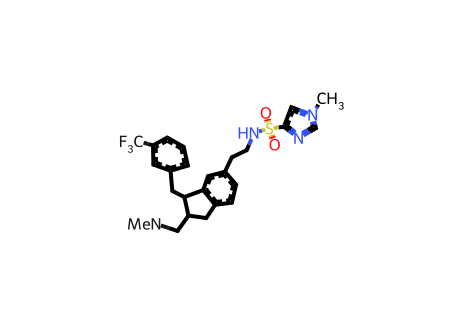 CNCC1Cc2ccc(CCNS(=O)(=O)c3cn(C)cn3)cc2C1Cc1cccc(C(F)(F)F)c1